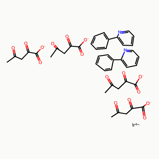 CC(=O)CC(=O)C(=O)[O-].CC(=O)CC(=O)C(=O)[O-].CC(=O)CC(=O)C(=O)[O-].CC(=O)CC(=O)C(=O)[O-].[Ir+4].c1ccc(-c2ccccn2)cc1.c1ccc(-c2ccccn2)cc1